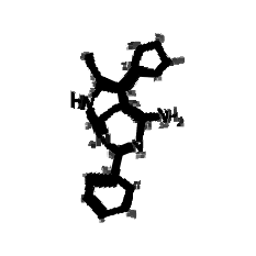 Cc1[nH]c2nc(-c3ccccc3)nc(N)c2c1C1CCCC1